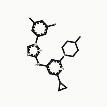 CC1CCN(c2cc(Nc3ncn(-c4cc(F)cc(F)c4)n3)cc(C3CC3)n2)CC1